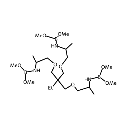 CCC(COCC(C)NB(OC)OC)(COCC(C)NB(OC)OC)COCC(C)NB(OC)OC